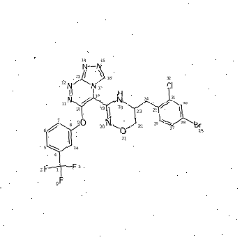 FC(F)(F)c1cccc(Oc2nnc3nncn3c2C2=NOCC(Cc3ccc(Br)cc3Cl)N2)c1